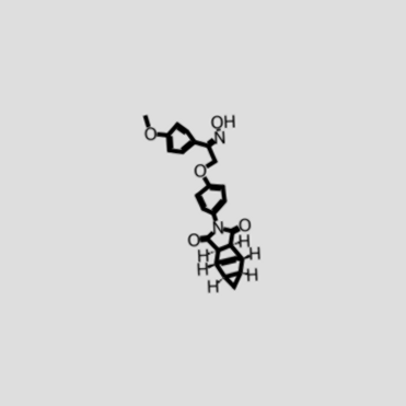 COc1ccc(/C(COc2ccc(N3C(=O)[C@@H]4[C@@H]5C=C[C@@H]([C@H]6C[C@@H]56)[C@@H]4C3=O)cc2)=N\O)cc1